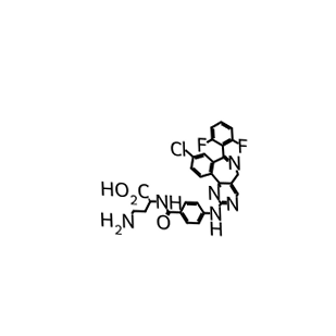 NCC[C@@H](NC(=O)c1ccc(Nc2ncc3c(n2)-c2ccc(Cl)cc2C(c2c(F)cccc2F)=NC3)cc1)C(=O)O